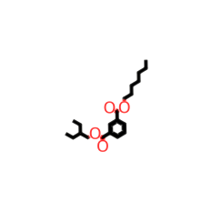 CCCCCCCOC(=O)c1cccc(C(=O)OCC(CC)CC)c1